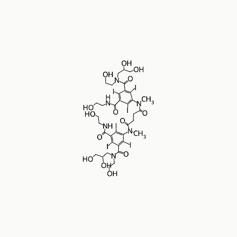 CN(C(=O)CCC(=O)N(C)c1c(I)c(C(=O)NCCO)c(I)c(C(=O)N(CCO)CC(O)CO)c1I)c1c(I)c(C(=O)NCCO)c(I)c(C(=O)N(CCO)CC(O)CO)c1I